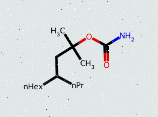 CCCCCCC(CCC)CC(C)(C)OC(N)=O